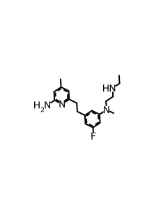 CCNCCN(C)c1cc(F)cc(CCc2cc(C)cc(N)n2)c1